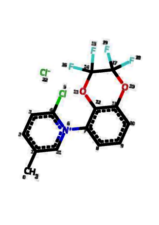 Cc1ccc(Cl)[n+](-c2cccc3c2OC(F)(F)C(F)(F)O3)c1.[Cl-]